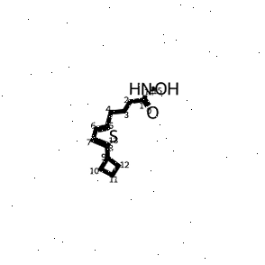 O=C(CCCc1ccc(C2CCC2)s1)NO